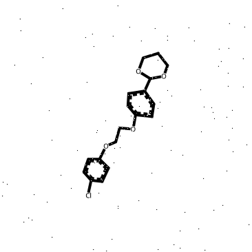 Clc1ccc(OCCOc2ccc(C3OCCCO3)cc2)cc1